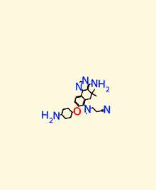 CN(CCC#N)c1c(OC2CCC(N)CC2)ccc2c1CC(C)(C)c1c(N)ncnc1-2